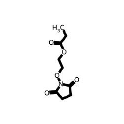 CCC(=O)OCCON1C(=O)CCC1=O